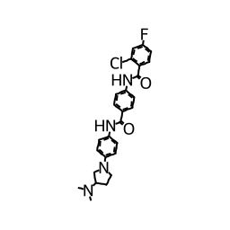 CN(C)C1CCN(c2ccc(NC(=O)c3ccc(NC(=O)c4ccc(F)cc4Cl)cc3)cc2)C1